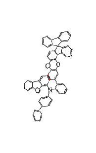 c1ccc(-c2ccc(N(c3ccccc3-c3ccc4c(c3)Oc3c(ccc5c3-c3ccccc3C53c5ccccc5-c5ccccc53)O4)c3cccc4c3oc3ccccc34)cc2)cc1